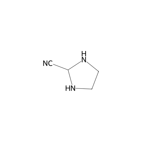 N#CC1NCCN1